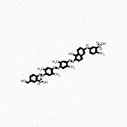 Cc1cc(N=Nc2ccc(CO)cc2S(=O)(=O)O)c(C)cc1N=Nc1cc(C)c(N=Nc2ccc3cc(Nc4ccc(N)c(S(=O)(=O)O)c4)ccc3c2O)cc1C